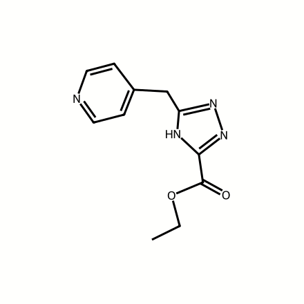 CCOC(=O)c1nnc(Cc2ccncc2)[nH]1